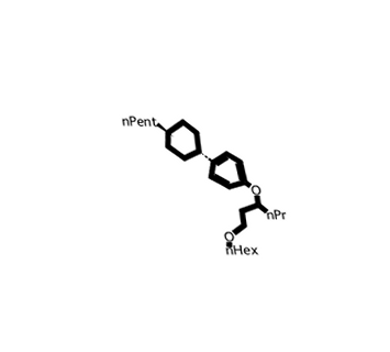 CCCCCCOCCC(CCC)Oc1ccc([C@H]2CC[C@H](CCCCC)CC2)cc1